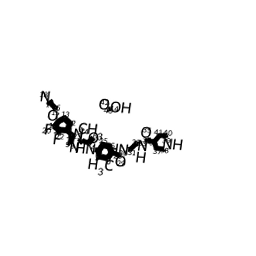 Cc1cc(NC(=O)c2ncc(-c3ccc(OCC#N)c(F)c3F)n2C)ccc1C(=O)NCCNC(=O)C1CCNCC1.O=CO